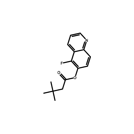 CC(C)(C)CC(=O)Oc1ccc2ncccc2c1F